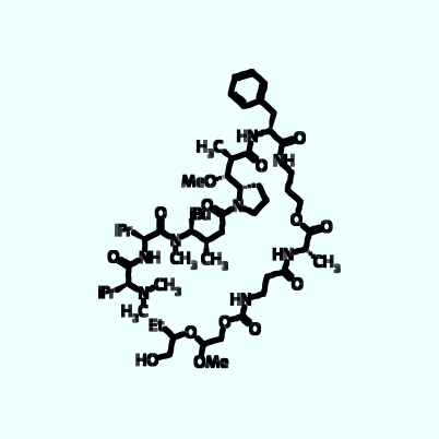 CCC(CO)OC(COC(=O)NCCC(=O)N[C@@H](C)C(=O)OCCCNC(=O)[C@H](Cc1ccccc1)NC(=O)[C@H](C)[C@@H](OC)[C@@H]1CCCN1C(=O)C[C@@H](C)[C@H](C(C)CC)N(C)C(=O)[C@@H](NC(=O)[C@H](C(C)C)N(C)C)C(C)C)OC